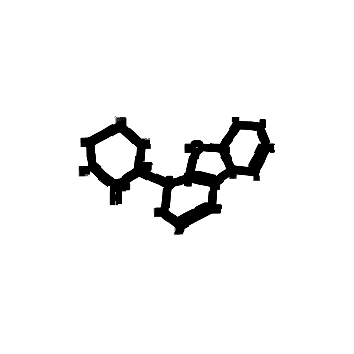 C1=CC2C3=C(OC2CC1)C(C1CCCCN1)CC=C3